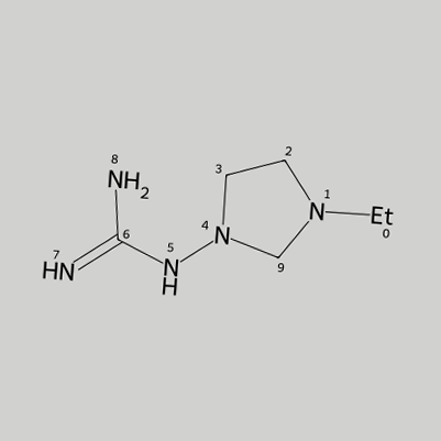 CCN1CCN(NC(=N)N)C1